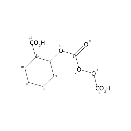 O=C(O)OOC(=O)OC1CCCCC1C(=O)O